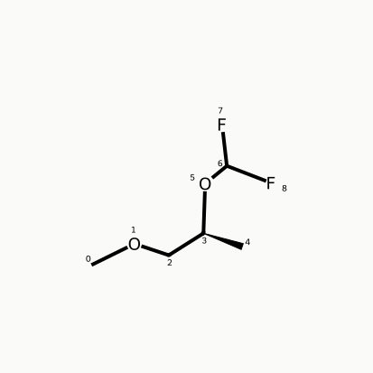 COC[C@H](C)OC(F)F